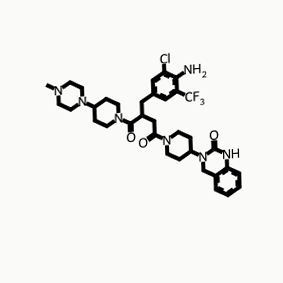 CN1CCN(C2CCN(C(=O)C(CC(=O)N3CCC(N4Cc5ccccc5NC4=O)CC3)Cc3cc(Cl)c(N)c(C(F)(F)F)c3)CC2)CC1